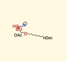 CCCCCCCCCCCCCCCCCCCOCC(COP(=O)(O)CCN1CCCC1)OC(C)=O